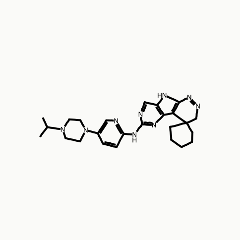 CC(C)N1CCN(c2ccc(Nc3ncc4[nH]c5c(c4n3)C3(CCCCC3)CN=N5)nc2)CC1